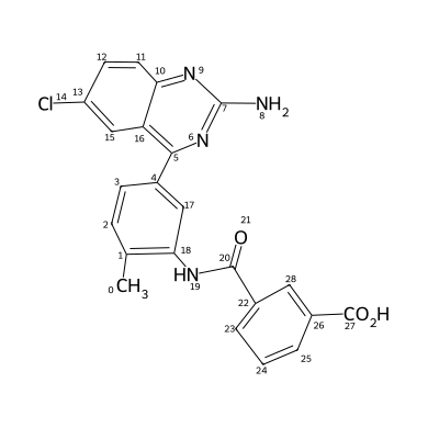 Cc1ccc(-c2nc(N)nc3ccc(Cl)cc23)cc1NC(=O)c1cccc(C(=O)O)c1